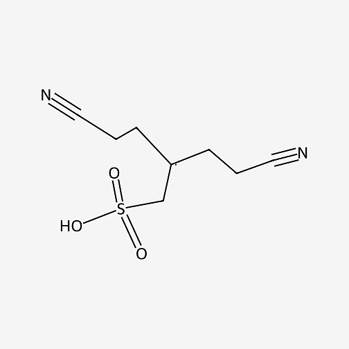 N#CCC[C](CCC#N)CS(=O)(=O)O